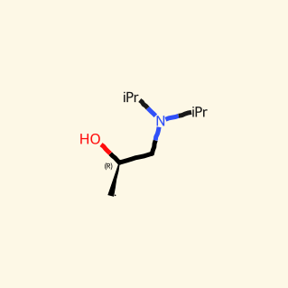 [CH2][C@@H](O)CN(C(C)C)C(C)C